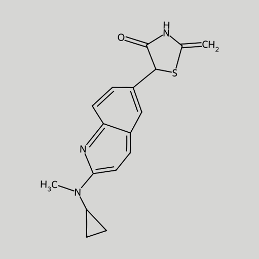 C=C1NC(=O)C(c2ccc3nc(N(C)C4CC4)ccc3c2)S1